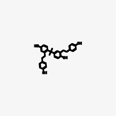 CC(C)(c1ccc(O)c(CCc2ccc(O)cc2)c1)c1ccc(O)cc1CCc1ccc(O)cc1